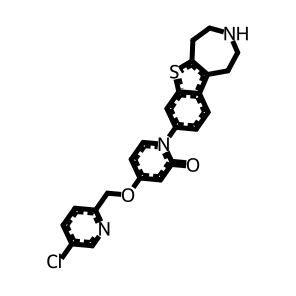 O=c1cc(OCc2ccc(Cl)cn2)ccn1-c1ccc2c3c(sc2c1)CCNCC3